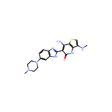 CNc1csc2c(N)c(-c3nc4ccc(N5CCN(C)CC5)cc4[nH]3)c(=O)[nH]c12